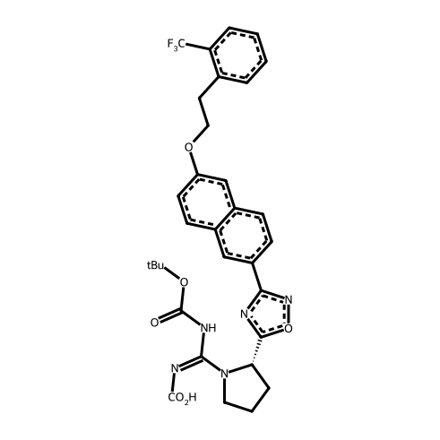 CC(C)(C)OC(=O)N/C(=N/C(=O)O)N1CCC[C@H]1c1nc(-c2ccc3cc(OCCc4ccccc4C(F)(F)F)ccc3c2)no1